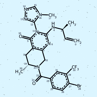 C=C[C@H](C)Nc1nc2c(c(=O)n1-c1nncn1C)C[C@@H](C)N(C(=O)c1ccc(Br)c(C(F)(F)F)c1)C2